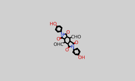 O=CC1C2C(=O)N(c3ccc(O)cc3)C(=O)C2C(C=O)C2C(=O)N(c3ccc(O)cc3)C(=O)C12